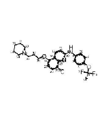 FC(F)(F)Oc1ccc(Nc2ccc3c(OCCCN4CCCCC4)ccc(Cl)c3n2)cc1